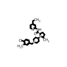 C=C1CC[C@H](C(=O)Nc2cc(CC)ccn2)N1C1CCN(Cc2ccc(Cl)c(C)c2)CC1